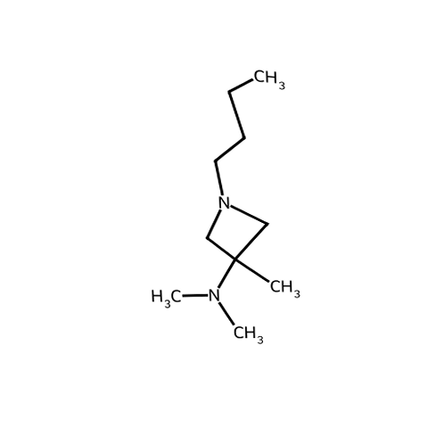 CCCCN1CC(C)(N(C)C)C1